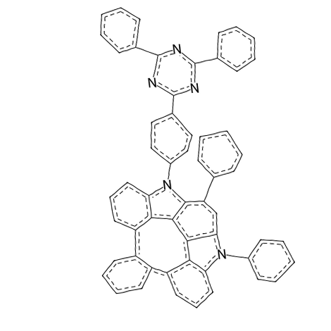 c1ccc(-c2nc(-c3ccccc3)nc(-c3ccc(-n4c5cccc6c7ccccc7c7cccc8c7c7c(c65)c4c(-c4ccccc4)cc7n8-c4ccccc4)cc3)n2)cc1